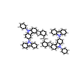 C[Si](C)(c1cccc2c1Cc1c-2ccc2c1c1cc(-n3c4ccccc4c4ccccc43)ccc1n2-c1ccccc1)c1cccc2c1Cc1c-2ccc2c1c1cc(-n3c4ccccc4c4ccccc43)ccc1n2-c1ccccc1